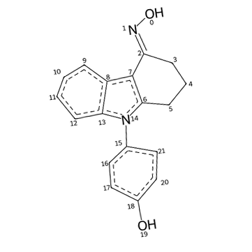 ON=C1CCCc2c1c1ccccc1n2-c1ccc(O)cc1